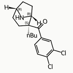 CCCC[C@]1(C(=O)c2ccc(Cl)c(Cl)c2)CC[C@@H]2CC[C@H]1N2